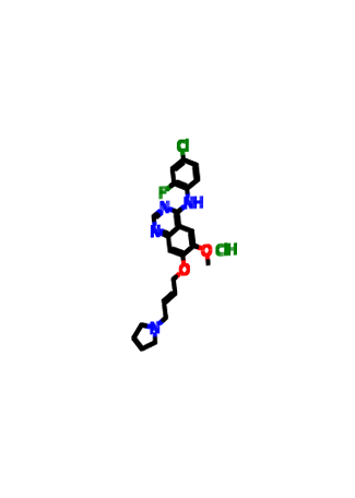 COc1cc2c(Nc3ccc(Cl)cc3F)ncnc2cc1OCC=CCN1CCCC1.Cl